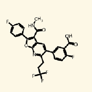 CNC(=O)c1c(-c2ccc(F)cc2)oc2nc(CCC(F)(F)F)c(-c3ccc(F)c(C(=O)O)c3)cc12